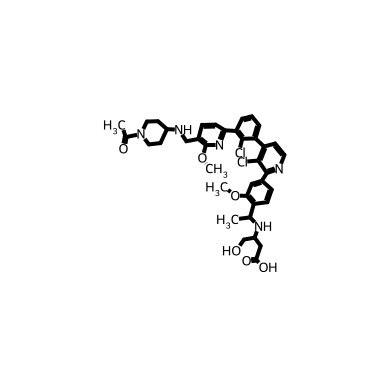 COc1cc(-c2nccc(-c3cccc(-c4ccc(CNC5CCN(C(C)=O)CC5)c(OC)n4)c3Cl)c2Cl)ccc1C(C)NC(CO)CC(=O)O